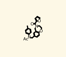 CC(=O)N(Cc1ccc2c(c1)CN(C(=O)c1ccco1)CCO2)c1ccc(C)cc1